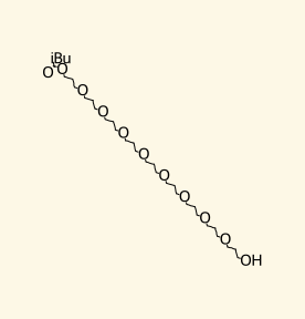 CCC(C)C(=O)OCCCOCCCOCCCOCCCOCCCOCCCOCCCOCCCOCCCO